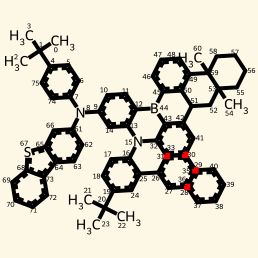 CC(C)(C)c1ccc(N(c2ccc3c(c2)N(c2ccc(C(C)(C)C)cc2-c2ccccc2)c2cc(-c4ccccc4)cc4c2B3c2cccc3c2C4CC2(C)CCCCC32C)c2ccc3c(c2)sc2ccccc23)cc1